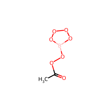 CC(=O)OOB1OOOO1